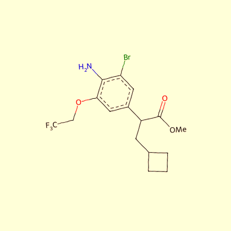 COC(=O)C(CC1CCC1)c1cc(Br)c(N)c(OCC(F)(F)F)c1